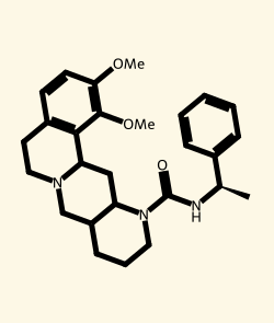 COc1ccc2c(c1OC)C1CC3C(CCCN3C(=O)N[C@H](C)c3ccccc3)CN1CC2